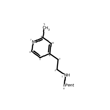 CCCCCNCCc1ccnc(C)c1